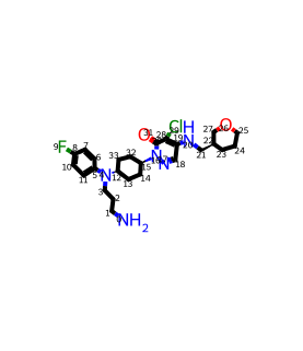 NCCCN(c1ccc(F)cc1)[C@H]1CC[C@H](n2ncc(NC[C@@H]3CCCOC3)c(Cl)c2=O)CC1